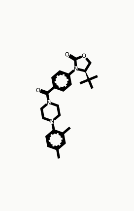 Cc1ccc(N2CCN(C(=O)c3ccc(N4C(=O)OC[C@H]4C(C)(C)C)cc3)CC2)c(C)c1